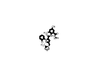 Cc1cc(C#N)cc(C(=O)NC(C)C)c1NC(=O)c1cc(Cn2nnnc2C)nn1-c1ccccc1Cl